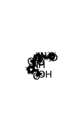 O=C(O)Cc1ccccc1NC(=O)N1CCN(N=Cc2ccoc2)C1=O